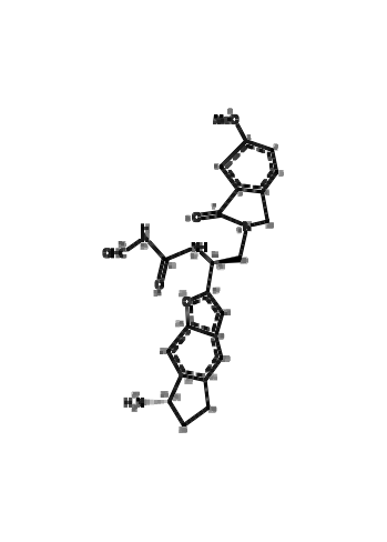 COc1ccc2c(c1)C(=O)N(C[C@H](NC(=O)NC=O)c1cc3cc4c(cc3o1)[C@@H](N)CC4)C2